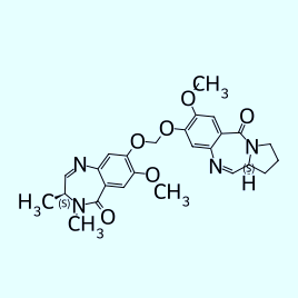 COc1cc2c(cc1OCOc1cc3c(cc1OC)C(=O)N1CCC[C@H]1C=N3)N=C[C@H](C)N(C)C2=O